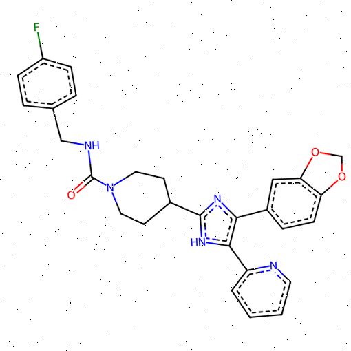 O=C(NCc1ccc(F)cc1)N1CCC(c2nc(-c3ccc4c(c3)OCO4)c(-c3ccccn3)[nH]2)CC1